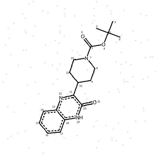 CC(C)(C)OC(=O)N1CCC(c2nc3ccccc3[nH]c2=O)CC1